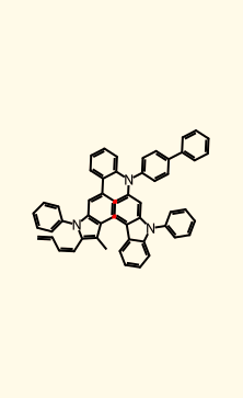 C=C/C=C\c1c(C)c2ccc(-c3ccccc3N(c3ccc(-c4ccccc4)cc3)c3ccc4c5ccccc5n(-c5ccccc5)c4c3)cc2n1-c1ccccc1